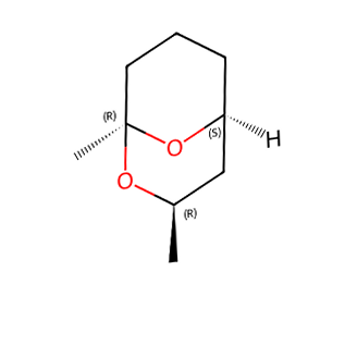 C[C@@H]1C[C@@H]2CCC[C@@](C)(O2)O1